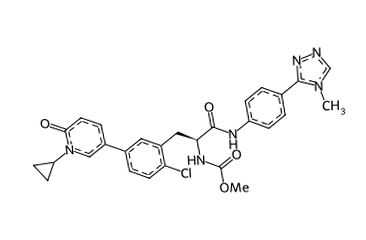 COC(=O)N[C@@H](Cc1cc(-c2ccc(=O)n(C3CC3)c2)ccc1Cl)C(=O)Nc1ccc(-c2nncn2C)cc1